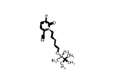 CC(C)(C)[Si](C)(C)OCCCCCn1c(C#N)ccc(F)c1=O